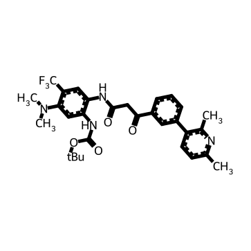 Cc1ccc(-c2cccc(C(=O)CC(=O)Nc3cc(C(F)(F)F)c(N(C)C)cc3NC(=O)OC(C)(C)C)c2)c(C)n1